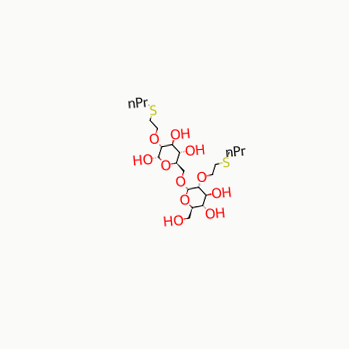 CCCSCCO[C@@H]1[C@@H](O)[C@H](O)[C@@H](CO[C@H]2O[C@H](CO)[C@@H](O)[C@H](O)[C@H]2OCCSCCC)O[C@@H]1O